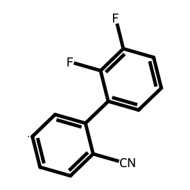 N#Cc1cc[c]cc1-c1cccc(F)c1F